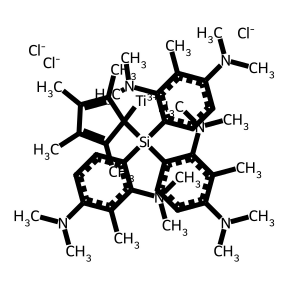 CC1=C(C)[C]([Ti+3])([Si](c2ccc(N(C)C)c(C)c2N(C)C)(c2ccc(N(C)C)c(C)c2N(C)C)c2ccc(N(C)C)c(C)c2N(C)C)C(C)=C1C.[Cl-].[Cl-].[Cl-]